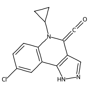 O=C=C1c2cn[nH]c2-c2cc(Cl)ccc2N1C1CC1